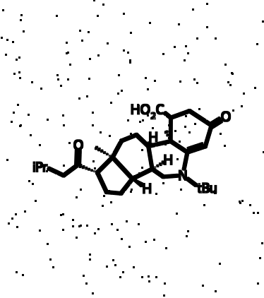 CC(C)CC(=O)[C@H]1CC[C@H]2[C@@H]3CN(C(C)(C)C)C4=CC(=O)CC(C(=O)O)[C@]4(C)[C@H]3CC[C@]12C